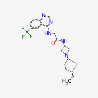 C=C[C@H]1CC[C@@H](N2CC(NC(=O)CNc3ncnc4ccc(C(F)(F)F)cc34)C2)CC1